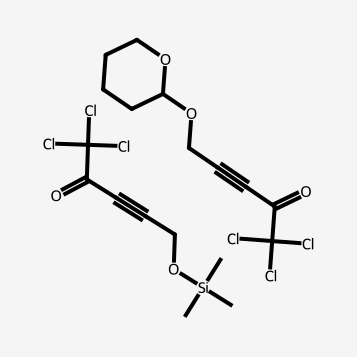 C[Si](C)(C)OCC#CC(=O)C(Cl)(Cl)Cl.O=C(C#CCOC1CCCCO1)C(Cl)(Cl)Cl